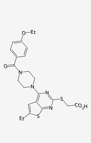 CCOc1ccc(C(=O)N2CCN(c3nc(SCC(=O)O)nc4sc(CC)cc34)CC2)cc1